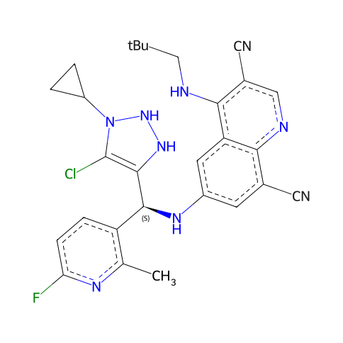 Cc1nc(F)ccc1[C@H](Nc1cc(C#N)c2ncc(C#N)c(NCC(C)(C)C)c2c1)C1=C(Cl)N(C2CC2)NN1